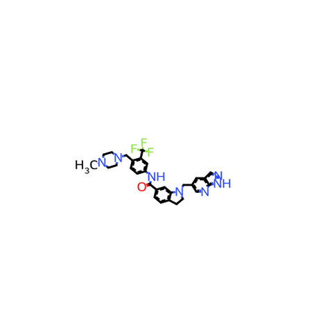 CN1CCN(Cc2ccc(NC(=O)c3ccc4c(c3)N(Cc3cnc5[nH]ncc5c3)CC4)cc2C(F)(F)F)CC1